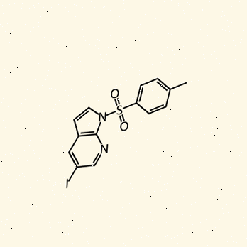 Cc1ccc(S(=O)(=O)n2ccc3cc(I)cnc32)cc1